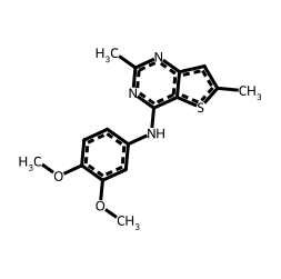 COc1ccc(Nc2nc(C)nc3cc(C)sc23)cc1OC